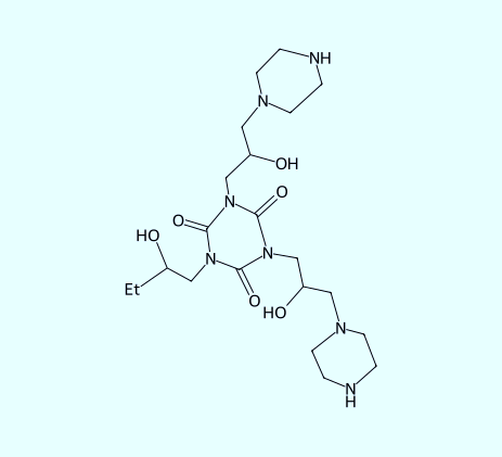 CCC(O)Cn1c(=O)n(CC(O)CN2CCNCC2)c(=O)n(CC(O)CN2CCNCC2)c1=O